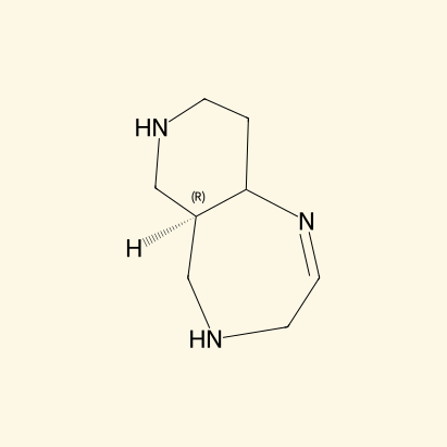 C1=NC2CCNC[C@@H]2CNC1